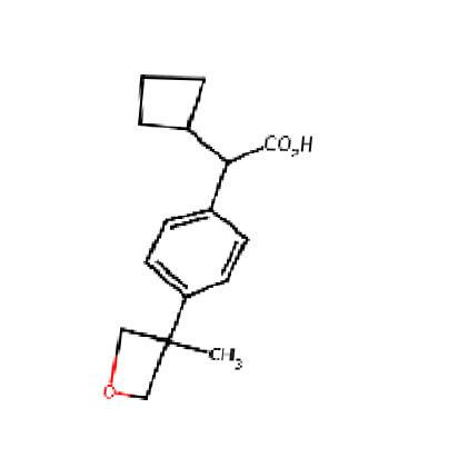 CC1(c2ccc(C(C(=O)O)C3CCC3)cc2)COC1